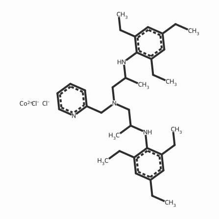 CCc1cc(CC)c(NC(C)CN(Cc2ccccn2)CC(C)Nc2c(CC)cc(CC)cc2CC)c(CC)c1.[Cl-].[Cl-].[Co+2]